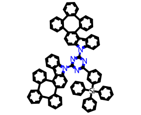 c1ccc([Si](c2ccccc2)(c2ccccc2)c2cccc(-c3nc(-n4c5ccccc5c5c6c(ccc54)-c4ccccc4-c4ccccc4-c4ccccc4-6)nc(-n4c5ccccc5c5c6c(ccc54)-c4ccccc4-c4ccccc4-c4ccccc4-6)n3)c2)cc1